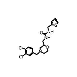 O=C(NCc1cccs1)NCC1CN(Cc2ccc(Cl)c(Cl)c2)CCO1